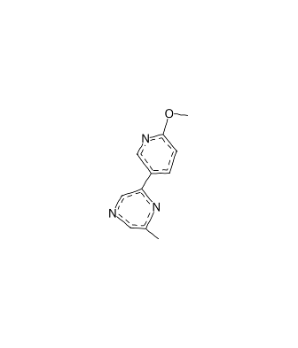 COc1ccc(-c2cncc(C)n2)cn1